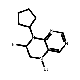 CCC1CN(CC)c2cn[c]nc2N1C1CCCC1